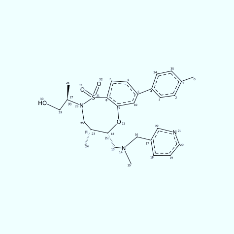 Cc1ccc(-c2ccc3c(c2)O[C@H](CN(C)Cc2cccnc2)[C@H](C)CN([C@H](C)CO)S3(=O)=O)cc1